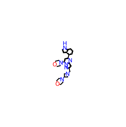 c1cc(-c2cc(N3CCOCC3)n3nc(CN4CC(N5CCOCC5)C4)cc3n2)c2cc[nH]c2c1